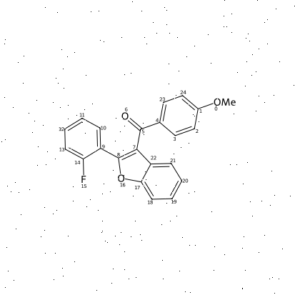 COc1ccc(C(=O)c2c(-c3ccccc3F)oc3ccccc23)cc1